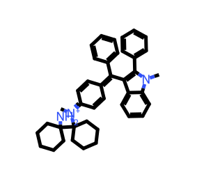 Cn1c(-c2ccccc2)c(C(=C2C=CC(=[N+](C)C3(C4(N)CCCCC4)CCCCC3)C=C2)c2ccccc2)c2ccccc21